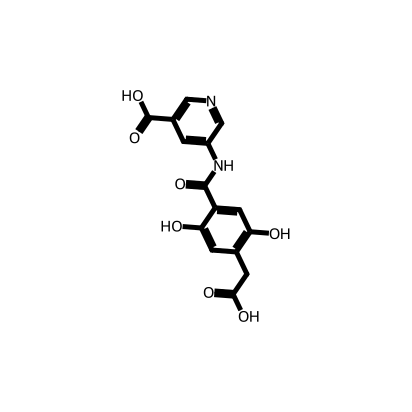 O=C(O)Cc1cc(O)c(C(=O)Nc2cncc(C(=O)O)c2)cc1O